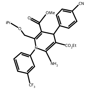 CCOC(=O)C1=C(N)N(c2cccc(C(F)(F)F)c2)C(COC(C)C)=C(C(=O)OC)C1c1ccc(C#N)cc1